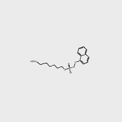 CCCCCCCCCCCCCCCCOP(=O)(CC)OOc1cccc2ccccc12